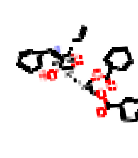 C=CC[C@@H]1O[C@H](C[C@@H](COC(=O)c2ccccc2)OC(=O)c2ccccc2)[C@H](O)/C1=C\c1ccccc1